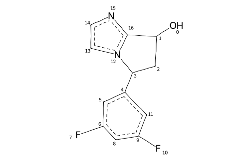 OC1CC(c2cc(F)cc(F)c2)n2ccnc21